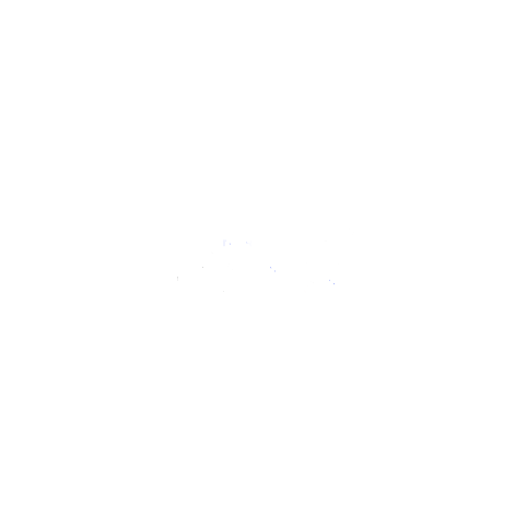 CC(C)(C)c1cc(NC=C2C(=O)Nc3ccccc32)n[nH]1